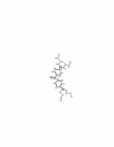 CCCCN(CCCC)c1ccc(C(=S)c2ccc(N(CCCC)CCCC)cc2)cc1